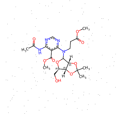 COC(=O)CCN(c1ncnc(NC(C)=O)c1C(=O)OC)C1O[C@H](CO)[C@H]2OC(C)(C)O[C@@H]12